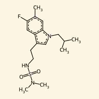 Cc1cc2c(cc1F)c(CCNS(=O)(=O)N(C)C)cn2CC(C)C